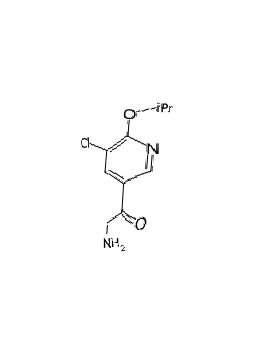 CC(C)Oc1ncc(C(=O)CN)cc1Cl